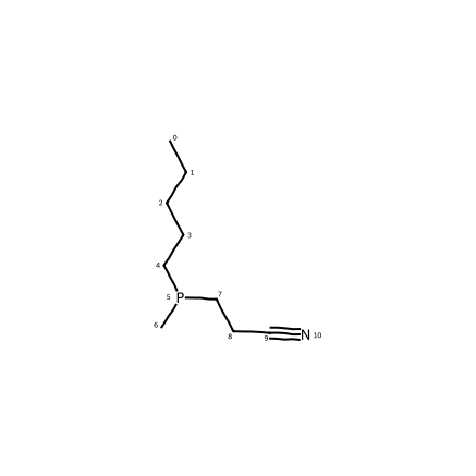 CCCCCP(C)CCC#N